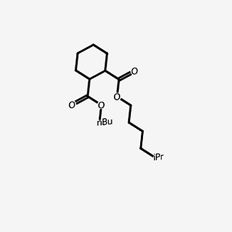 CCCCOC(=O)C1CCCCC1C(=O)OCCCCC(C)C